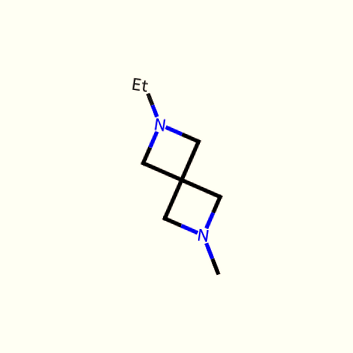 CCN1CC2(CN(C)C2)C1